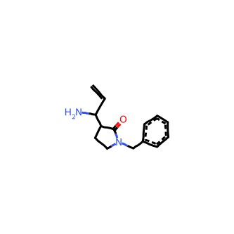 C=CC(N)C1CCN(Cc2ccccc2)C1=O